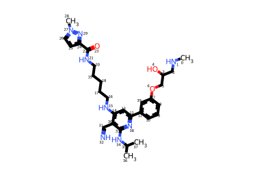 CNCC(O)COc1cccc(-c2cc(NCCCCCNC(=O)c3ccn(C)n3)c(C=N)c(NC(C)C)n2)c1